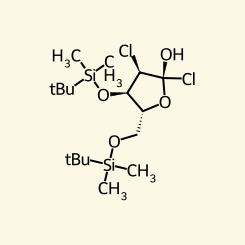 CC(C)(C)[Si](C)(C)OC[C@H]1O[C@@](O)(Cl)[C@H](Cl)[C@@H]1O[Si](C)(C)C(C)(C)C